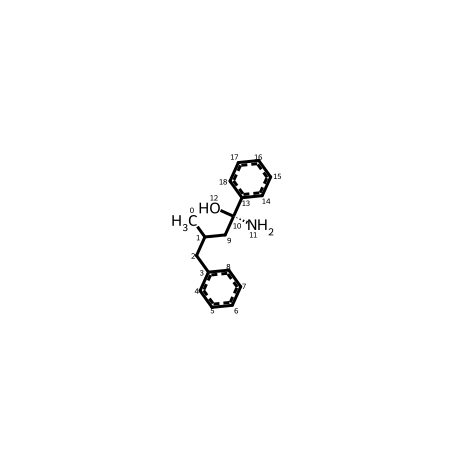 CC(Cc1ccccc1)C[C@@](N)(O)c1ccccc1